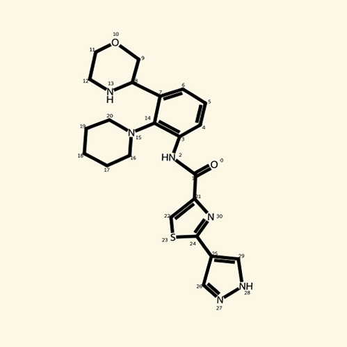 O=C(Nc1cccc(C2COCCN2)c1N1CCCCC1)c1csc(-c2cn[nH]c2)n1